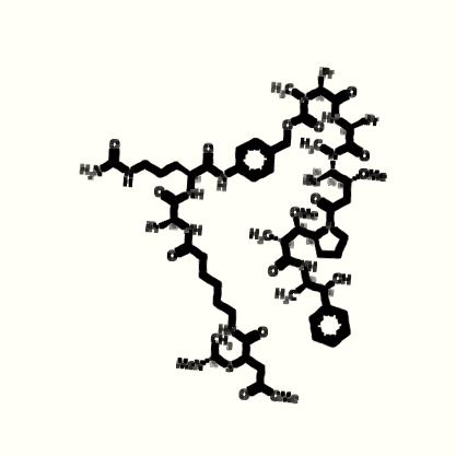 CC[C@H](C)[C@@H]([C@@H](CC(=O)N1CCC[C@H]1[C@H](OC)[C@@H](C)C(=O)N[C@H](C)[C@@H](O)c1ccccc1)OC)N(C)C(=O)[C@@H](NC(=O)[C@H](C(C)C)N(C)C(=O)OCc1ccc(NC(=O)[C@H](CCCNC(N)=O)NC(=O)[C@@H](NC(=O)CCCCCNC(=O)C(CC(=O)OC)S[C@@H](C)NC)C(C)C)cc1)C(C)C